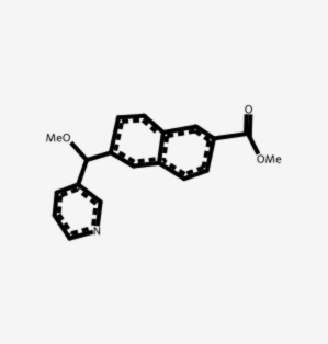 COC(=O)c1ccc2cc(C(OC)c3cccnc3)ccc2c1